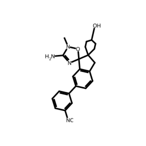 [C-]#[N+]c1cccc(-c2ccc3c(c2)C2(N=C(N)N(C)O2)C2(CCC(O)CC2)C3)c1